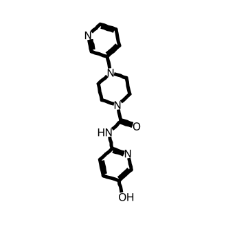 O=C(Nc1ccc(O)cn1)N1CCN(c2cccnc2)CC1